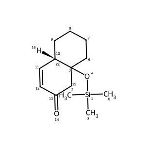 C[Si](C)(C)OC12CCCC[C@H]1C=CC(=O)C2